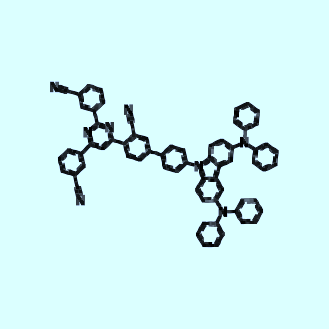 N#Cc1cccc(-c2cc(-c3ccc(-c4ccc(-n5c6ccc(N(c7ccccc7)c7ccccc7)cc6c6cc(N(c7ccccc7)c7ccccc7)ccc65)cc4)cc3C#N)nc(-c3cccc(C#N)c3)n2)c1